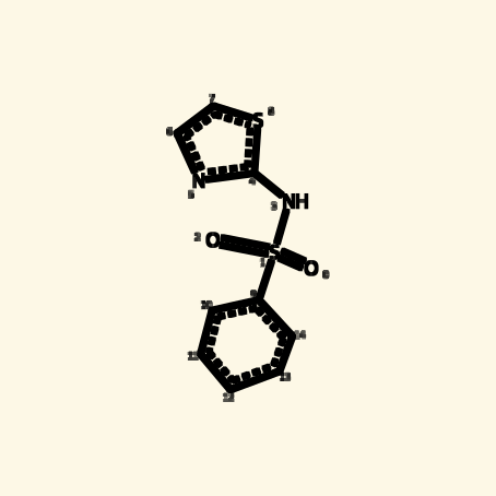 O=S(=O)(Nc1nccs1)c1ccccc1